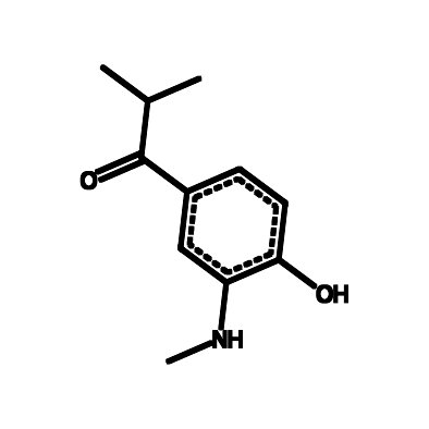 CNc1cc(C(=O)C(C)C)ccc1O